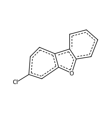 Clc1ccc2c(c1)oc1ccccc12